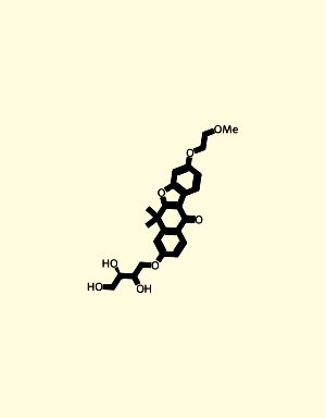 COCCOc1ccc2c3c(oc2c1)C(C)(C)c1cc(OCC(O)[C@H](O)CO)ccc1C3=O